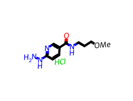 COCCCNC(=O)c1ccc(NN)nc1.Cl